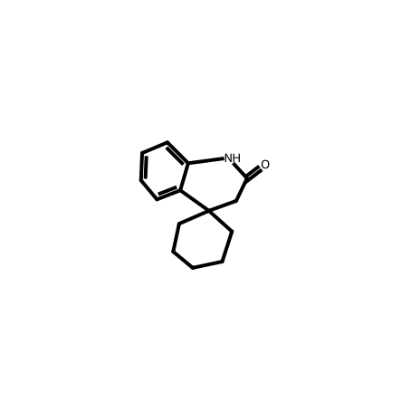 O=C1CC2(CCCCC2)c2ccccc2N1